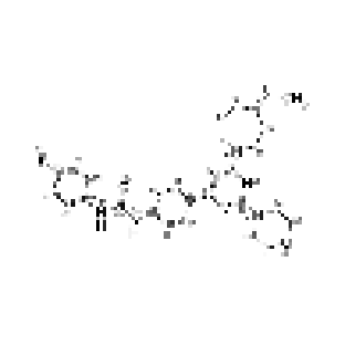 CCN1CCCN(c2nc(-c3ccc(NC(=O)Nc4ccc(F)cc4)cc3)nc(N3CCOCC3)n2)CC1